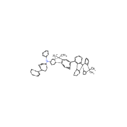 CC1(C)c2cc(-c3cccc4c3-c3ccccc3C43c4ccccc4C(C)(C)c4ccccc43)ccc2-c2ccc(N(c3ccccc3)c3ccc(-c4ccccc4)cc3)cc21